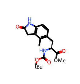 COC(=O)[C@H](Cc1ccc2c(c1C)CC(=O)N2)NC(=O)OC(C)(C)C